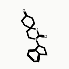 O=C1CCC2(CC1)CCN(C1CCc3ccccc31)C(=O)O2